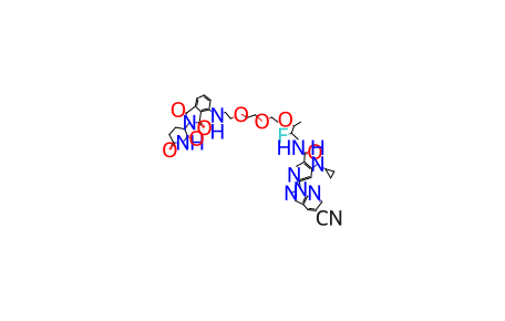 CC(OCCOCCOCCNc1cccc2c1C(=O)N(C1CCC(=O)NC1=O)C2=O)C(F)CNC(=O)c1cnc(-n2ncc3cc(C#N)cnc32)cc1NC1CC1